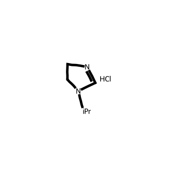 CC(C)N1C=NCC1.Cl